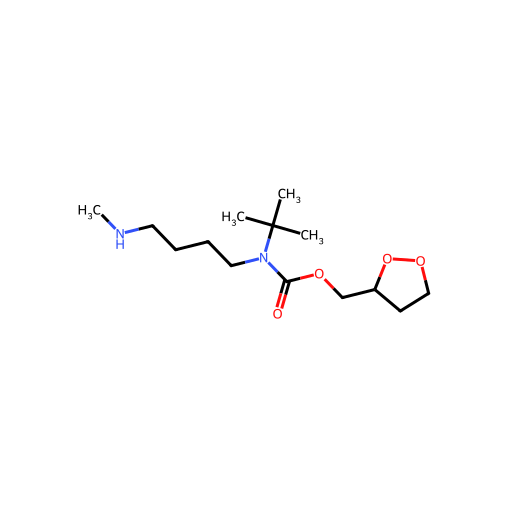 CNCCCCN(C(=O)OCC1CCOO1)C(C)(C)C